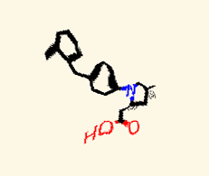 Cc1ccccc1Cc1ccc(N2C[C@@H](C)C[C@H]2CC(=O)O)cc1